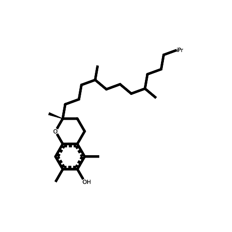 Cc1cc2c(c(C)c1O)CC[C@@](C)(CCCC(C)CCCC(C)CCCC(C)C)O2